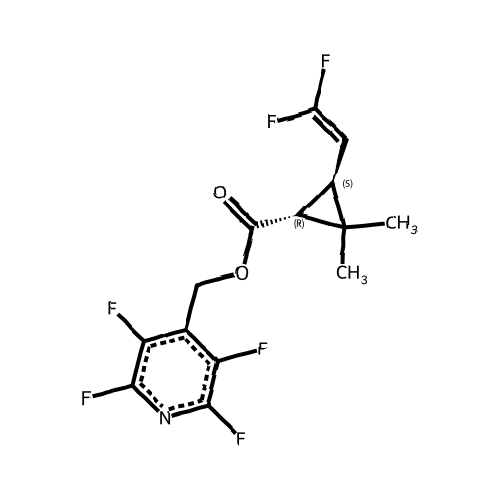 CC1(C)[C@H](C=C(F)F)[C@H]1C(=O)OCc1c(F)c(F)nc(F)c1F